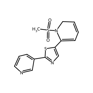 CS(=O)(=O)N1CC=CC=C1c1cnc(-c2cccnc2)s1